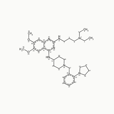 CCN(CC)CCCNc1nc(NC2CCN(Cc3ccccc3N3CCCC3)CC2)c2cc(OC)c(OC)cc2n1